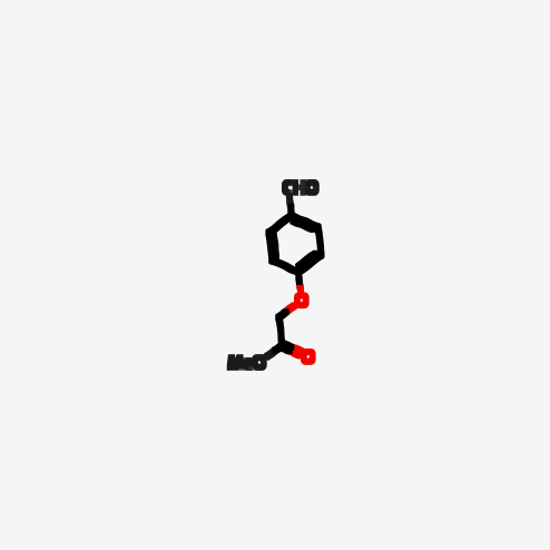 COC(=O)COc1ccc(C=O)cc1